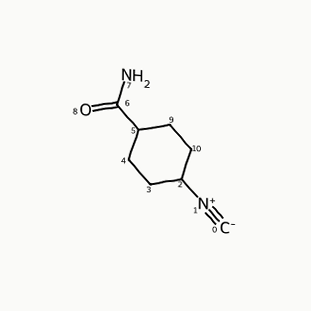 [C-]#[N+]C1CCC(C(N)=O)CC1